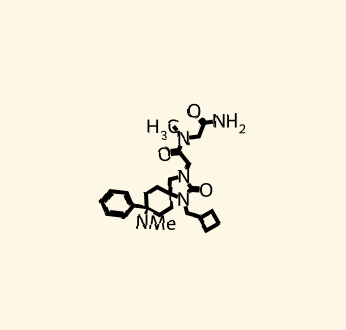 CN[C@]1(c2ccccc2)CC[C@@]2(CC1)CN(CC(=O)N(C)CC(N)=O)C(=O)N2CC1CCC1